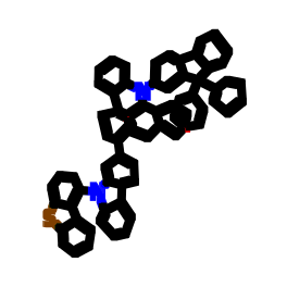 c1ccc(C2(c3ccccc3)c3ccccc3-c3ccc(N(c4ccccc4-c4ccc(-c5ccc6c7ccccc7n(-c7cccc8sc9ccccc9c78)c6c5)cc4)c4cccc5ccccc45)cc32)cc1